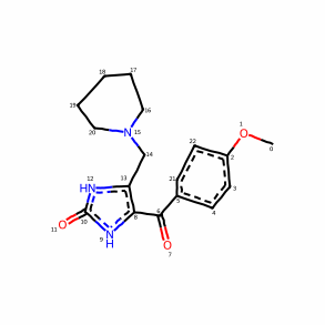 COc1ccc(C(=O)c2[nH]c(=O)[nH]c2CN2CCCCC2)cc1